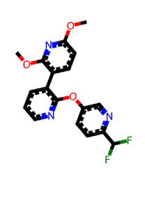 COc1ccc(-c2cccnc2Oc2ccc(C(F)F)nc2)c(OC)n1